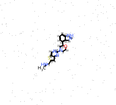 CNCc1cc2nc(N3CCOC(c4cccc5[nH]ncc45)C3)ncc2s1